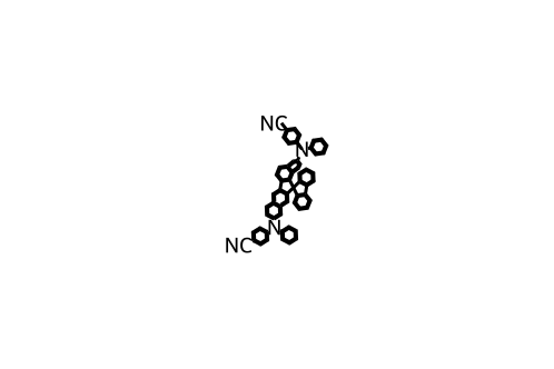 N#Cc1ccc(N(c2ccccc2)c2ccc3cc4c(cc3c2)C2(c3ccccc3-c3ccccc32)c2c-4ccc3cc(N(c4ccccc4)c4ccc(C#N)cc4)ccc23)cc1